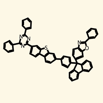 c1ccc(-c2nc(-c3ccccc3)nc(-c3ccc4c(c3)sc3cc(-c5ccc(C6(c7ccc8nc(-c9ccccc9)oc8c7)c7ccccc7-c7ccccc76)cc5)ccc34)n2)cc1